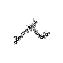 CC(C)[C@H](NC(=O)CCC(=O)OCCN1CCN(CCN/C=C2\C(=O)CC(c3ccccc3)CC2O)CC1)C(=O)N[C@@H](CCCNC(N)=O)CNc1ccc(COC(=O)Nc2cccc3c2CN(C2CCC(=O)NC2=O)C3=O)cc1